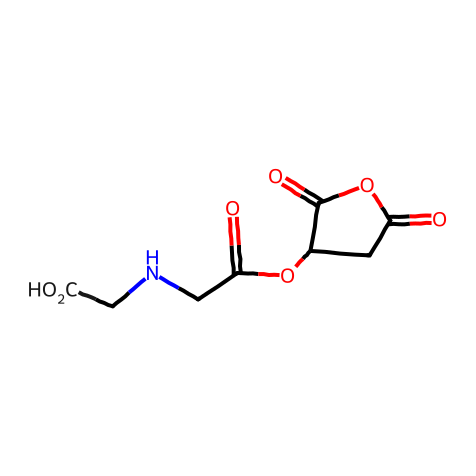 O=C(O)CNCC(=O)OC1CC(=O)OC1=O